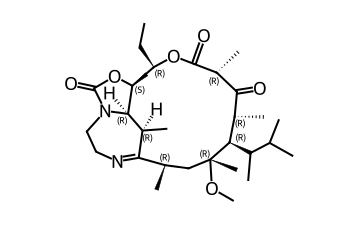 CC[C@H]1OC(=O)[C@H](C)C(=O)[C@H](C)[C@@H](C(C)C(C)C)[C@](C)(OC)C[C@@H](C)C2=NCCN3C(=O)O[C@@]1(C)[C@H]3[C@H]2C